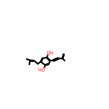 C=C(C)C#Cc1cc(O)c(CC=C(C)C)cc1O